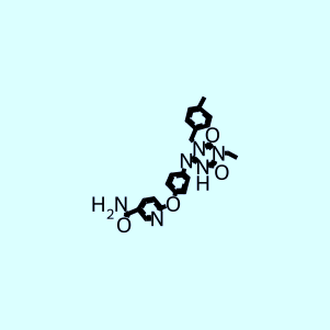 CCn1c(=O)[nH]/c(=N\c2ccc(Oc3ccc(C(N)=O)cn3)cc2)n(Cc2ccc(C)cc2)c1=O